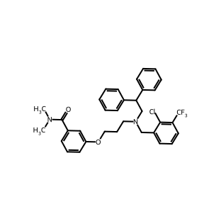 CN(C)C(=O)c1cccc(OCCCN(Cc2cccc(C(F)(F)F)c2Cl)CC(c2ccccc2)c2ccccc2)c1